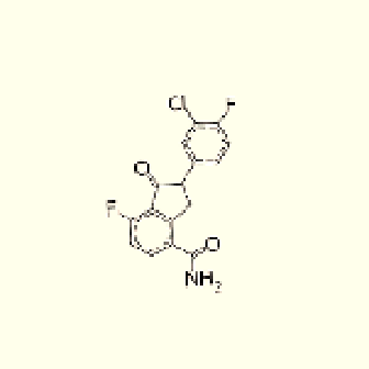 NC(=O)c1ccc(F)c2c1CC(c1ccc(F)c(Cl)c1)C2=O